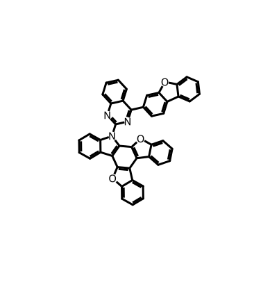 c1ccc2c(-c3ccc4c(c3)oc3ccccc34)nc(-n3c4ccccc4c4c5oc6ccccc6c5c5c6ccccc6oc5c43)nc2c1